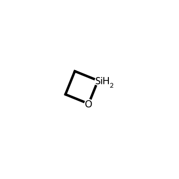 C1C[SiH2]O1